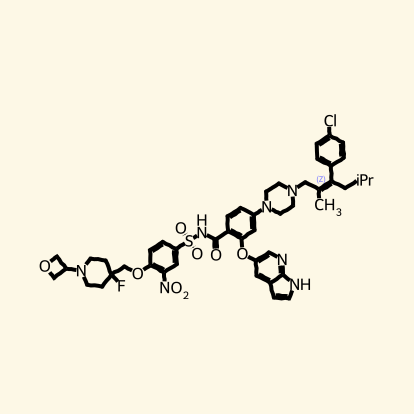 C/C(CN1CCN(c2ccc(C(=O)NS(=O)(=O)c3ccc(OCC4(F)CCN(C5COC5)CC4)c([N+](=O)[O-])c3)c(Oc3cnc4[nH]ccc4c3)c2)CC1)=C(\CC(C)C)c1ccc(Cl)cc1